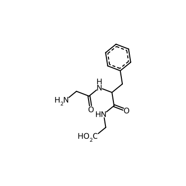 NCC(=O)NC(Cc1ccccc1)C(=O)NCC(=O)O